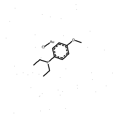 CCP(CC)c1ccc(OC)cc1.[Cl][Au]